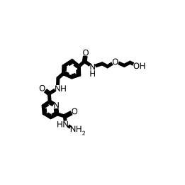 NNC(=O)c1cccc(C(=O)NCc2ccc(C(=O)NCCOCCO)cc2)n1